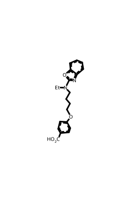 CCN(CCCCOc1ccc(C(=O)O)cc1)c1nc2ccccc2o1